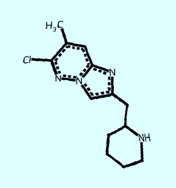 Cc1cc2nc(CC3CCCCN3)cn2nc1Cl